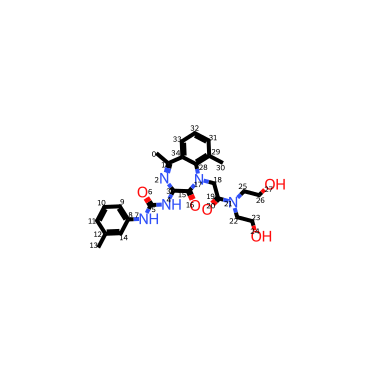 CC1=NC(NC(=O)Nc2cccc(C)c2)C(=O)N(CC(=O)N(CCO)CCO)c2c(C)cccc21